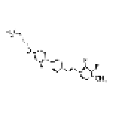 C=CCCOc1ccc(-c2ccc(/C=C/c3ccc(C)c(F)c3F)cc2)c(F)c1